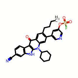 CCCCc1cc2c(=O)c3c4ccc(C#N)cc4[nH]c3n(C3CCCCC3)c2cc1-c1cncc(OS(=O)(=O)F)c1